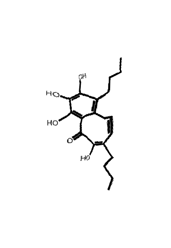 CCCCc1ccc2c(CCCC)c(O)c(O)c(O)c2c(=O)c1O